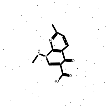 CNn1cc(C(=O)O)c(=O)c2ccc(C)nc21